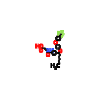 CCCCCCC(Oc1ccc(Oc2ccc(C(F)(F)F)cc2)cc1)c1ccc(C(=O)NCCC(=O)O)cc1